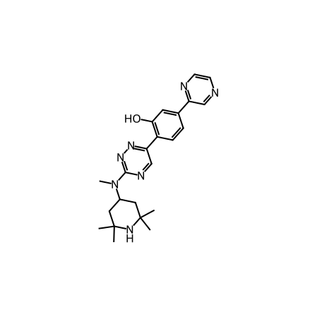 CN(c1ncc(-c2ccc(-c3cnccn3)cc2O)nn1)C1CC(C)(C)NC(C)(C)C1